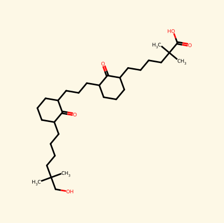 CC(C)(CO)CCCCC1CCCC(CCCC2CCCC(CCCCC(C)(C)C(=O)O)C2=O)C1=O